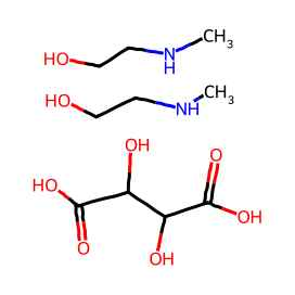 CNCCO.CNCCO.O=C(O)C(O)C(O)C(=O)O